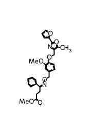 COC(=O)CCC(=NOCc1ccc(OCc2nc(-c3ccco3)oc2C)c(OC)c1)c1ccccc1